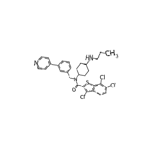 CCCNC1CCC(N(Cc2cccc(-c3ccncc3)c2)C(=O)c2sc3c(Cl)c(Cl)ccc3c2Cl)CC1